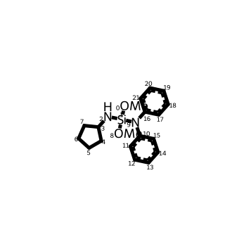 CO[Si](NC1CCCC1)(OC)N(c1ccccc1)c1ccccc1